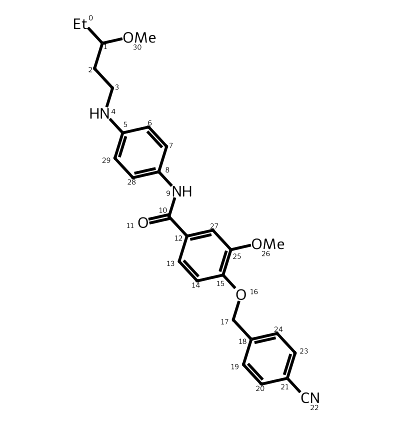 CCC(CCNc1ccc(NC(=O)c2ccc(OCc3ccc(C#N)cc3)c(OC)c2)cc1)OC